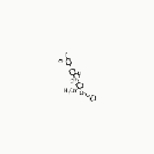 COc1cc(-n2cnc3cc(-c4ccc(F)c(Cl)c4)ccc3c2=O)ccc1OCCN1CCCC1